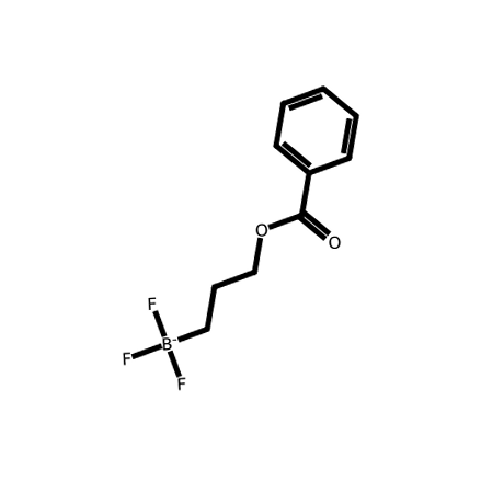 O=C(OCCC[B-](F)(F)F)c1ccccc1